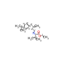 CCOC(=O)C(/N=C/CC(C)Cc1ccc(C(C)C)cc1)C(C)C